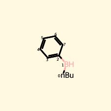 CCCCBc1ccccc1